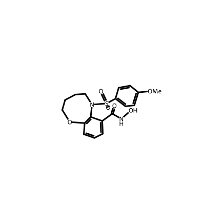 COc1ccc(S(=O)(=O)N2CCCCOc3cccc(C(=O)NO)c32)cc1